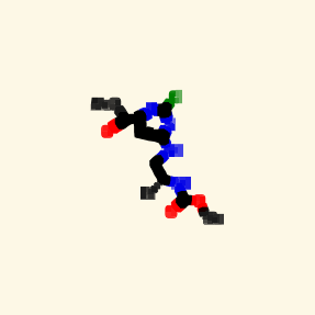 CC[C@H](CNc1cc(C(=O)OC)nc(Cl)n1)NC(=O)OC(C)(C)C